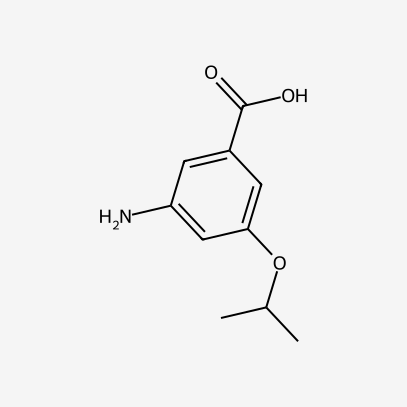 CC(C)Oc1cc(N)cc(C(=O)O)c1